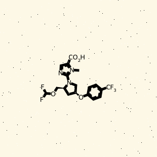 Cn1c(C(=O)O)cnc1N1C[C@@H](Oc2ccc(C(F)(F)F)cc2)C[C@H]1COC(F)F